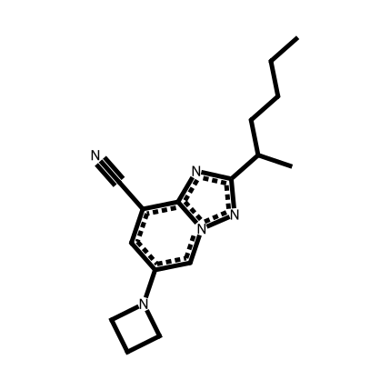 CCCCC(C)c1nc2c(C#N)cc(N3CCC3)cn2n1